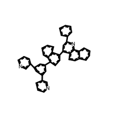 c1ccc(-c2cc(-c3ccc(-c4cc(-c5cccnc5)cc(-c5cccnc5)c4)c4ccccc34)c3ccc4ccccc4c3n2)cc1